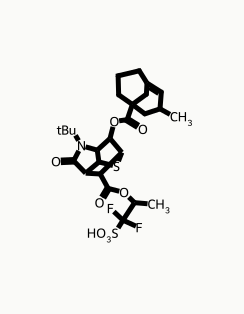 CC1C=C2CCCC(C(=O)OC3C4SC5C(C(=O)N(C(C)(C)C)C35)C4C(=O)OC(C)C(F)(F)S(=O)(=O)O)(C2)C1